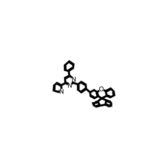 C1=CC(c2ccc(-c3nc(-c4ccccc4)cc(-c4ccccn4)n3)cc2)CC2=C1C1(c3ccccc3O2)c2ccccc2-c2ccccc21